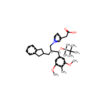 COc1cc([C@@H](O[Si](C)(C)C(C)(C)C)[C@@H](CC2Cc3ccccc3C2)Cn2ccc(CC(=O)O)c2)cc(OC)c1C